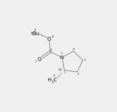 C[C@H]1CCCN1C(=O)OC(C)(C)C